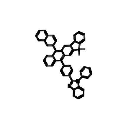 CC1(C)c2ccccc2-c2cc3c(-c4ccc5ccccc5c4)c4ccccc4c(-c4ccc(-c5nc6ccccc6n5-c5ccccc5)cc4)c3cc21